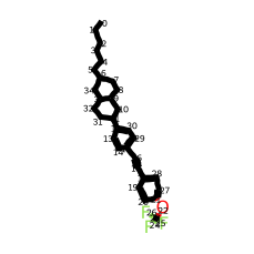 CCCCCCC1CCC2CC(c3ccc(C#Cc4ccc(OC(F)(F)F)cc4)cc3)CCC2C1